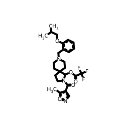 Cc1oncc1C(=O)N1CCC2(CCN(Cc3ccccc3OCC(C)C)CC2)C1OC(=O)C(F)(F)F